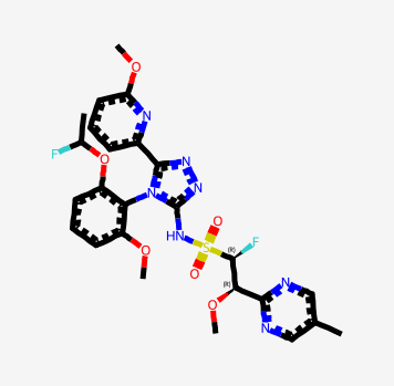 COc1cccc(-c2nnc(NS(=O)(=O)[C@@H](F)[C@H](OC)c3ncc(C)cn3)n2-c2c(OC)cccc2OC(C)F)n1